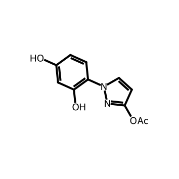 CC(=O)Oc1ccn(-c2ccc(O)cc2O)n1